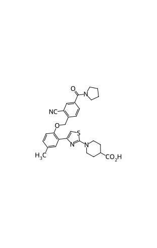 Cc1ccc(OCc2ccc(C(=O)N3CCCC3)cc2C#N)c(-c2csc(N3CCC(C(=O)O)CC3)n2)c1